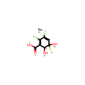 O=C(O)C1=C(F)C(F)=CC(O)(F)C1O.[Na]